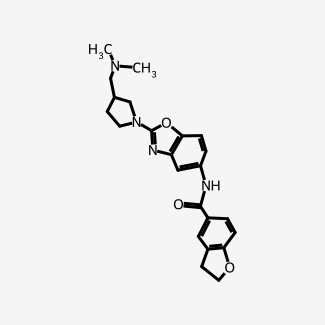 CN(C)CC1CCN(c2nc3cc(NC(=O)c4ccc5c(c4)CCO5)ccc3o2)C1